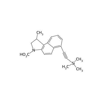 CC1CN(C(=O)O)c2ccc3c(C#C[Si](C)(C)C)cccc3c21